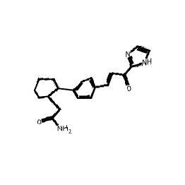 NC(=O)CC1CCCCC1c1ccc(/C=C/C(=O)c2ncc[nH]2)cc1